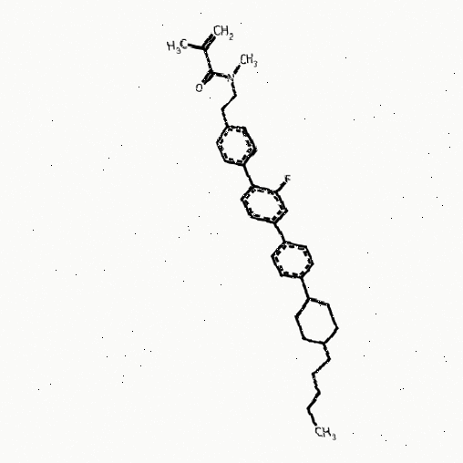 C=C(C)C(=O)N(C)CCc1ccc(-c2ccc(-c3ccc(C4CCC(CCCCC)CC4)cc3)cc2F)cc1